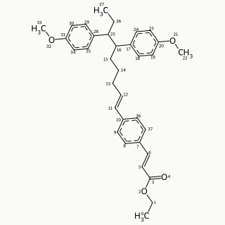 CCOC(=O)C=Cc1ccc(C=CCCCC(c2ccc(OC)cc2)C(CC)c2ccc(OC)cc2)cc1